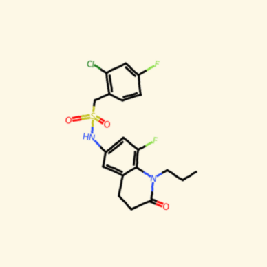 CCCN1C(=O)CCc2cc(NS(=O)(=O)Cc3ccc(F)cc3Cl)cc(F)c21